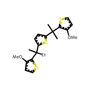 CCC(C)(c1ccc(C(C)(C)c2sccc2OC)s1)c1sccc1OC